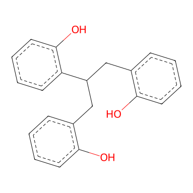 Oc1ccccc1CC(Cc1ccccc1O)c1ccccc1O